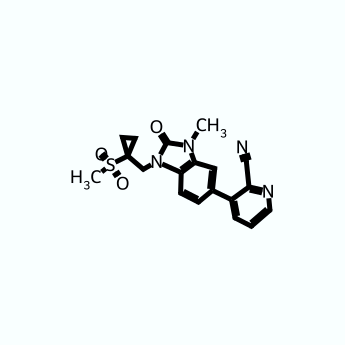 Cn1c(=O)n(CC2(S(C)(=O)=O)CC2)c2ccc(-c3cccnc3C#N)cc21